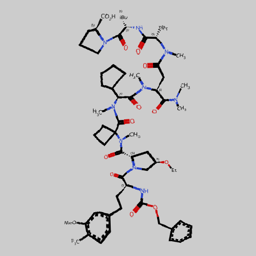 CCC[C@@H](C(=O)N[C@H](C(=O)N1CCC[C@H]1C(=O)O)[C@@H](C)CC)N(C)C(=O)C[C@@H](C(=O)N(C)C)N(C)C(=O)[C@H](C1CCCC1)N(C)C(=O)C1(N(C)C(=O)[C@@H]2C[C@@H](OCC)CN2C(=O)[C@H](CCc2ccc(C(F)(F)F)c(OC)c2)NC(=O)OCc2ccccc2)CCC1